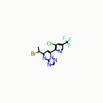 CC(Br)c1cc(-c2ncc(C(F)(F)F)cc2Cl)n2ncnc2n1